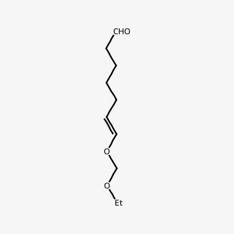 CCOCOC=CCCCCC=O